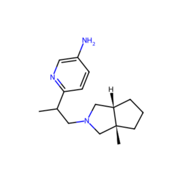 CC(CN1C[C@@H]2CCC[C@]2(C)C1)c1ccc(N)cn1